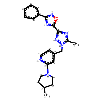 Cc1nc(-c2nc(-c3ccccc3)no2)nn1Cc1ccnc(N2CCC(C)CC2)c1